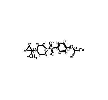 CC1(N2CCN(S(=O)(=O)c3ccc(OC(F)F)cc3)CC2)CC1